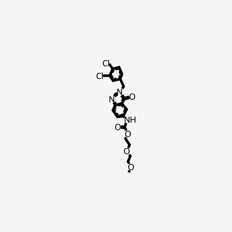 COCCOCCOC(=O)Nc1ccc2ncn(Cc3ccc(Cl)c(Cl)c3)c(=O)c2c1